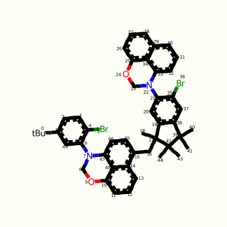 CC(C)(C)c1ccc(Br)c(N2COc3cccc4c(CC5(C)c6cc(N7COc8cccc9cccc7c89)c(Br)cc6C(C)(C)C5(C)C)ccc2c34)c1